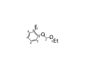 CCOCOc1[c]cccc1F